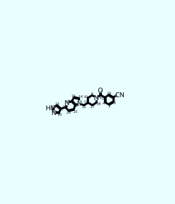 N#Cc1cccc(C(=O)N2CCC(Cn3ccc4nc(-c5cn[nH]c5)ccc43)CC2)c1